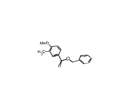 COc1ccc(C(=O)OCc2ccccc2)cc1C